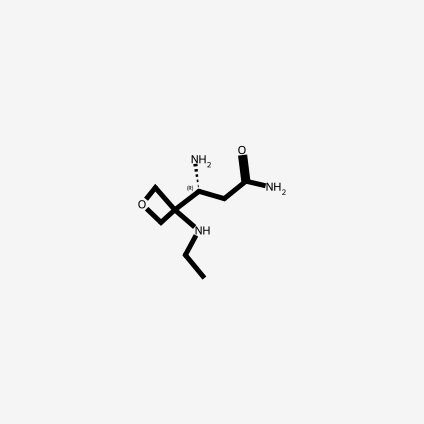 CCNC1([C@H](N)CC(N)=O)COC1